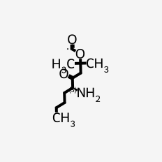 CCCC[C@H](N)C(=O)CC(C)(C)O[C]=O